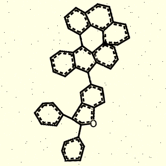 c1ccc(-c2oc3ccc(-c4c5ccccc5c(-c5cccc6ccc7ccccc7c56)c5ccccc45)cc3c2-c2ccccc2)cc1